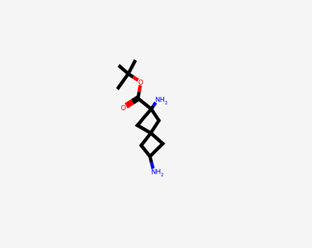 CC(C)(C)OC(=O)C1(N)CC2(CC(N)C2)C1